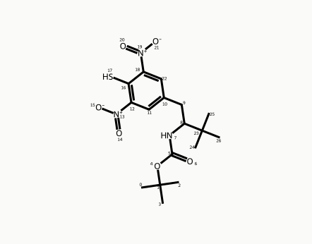 CC(C)(C)OC(=O)NC(Cc1cc([N+](=O)[O-])c(S)c([N+](=O)[O-])c1)C(C)(C)C